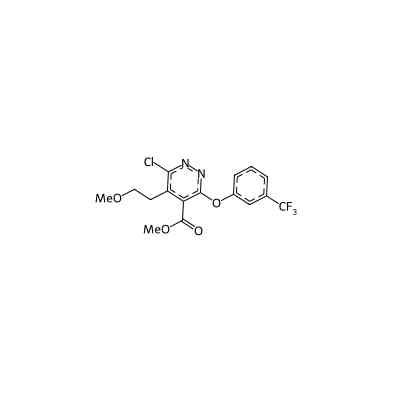 COCCc1c(Cl)nnc(Oc2cccc(C(F)(F)F)c2)c1C(=O)OC